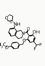 COc1ccc(COc2cc(C(F)F)cc(O)c2C(=O)N2CCc3cccc(N[C@H]4CCOC4)c3C2)cc1